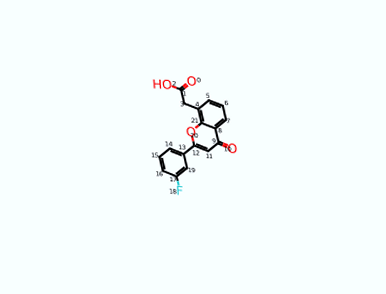 O=C(O)Cc1cccc2c(=O)cc(-c3cccc(F)c3)oc12